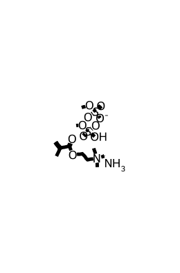 C=C(C)C(=O)OCC[N+](C)(C)C.COS(=O)(=O)O.COS(=O)(=O)[O-].N